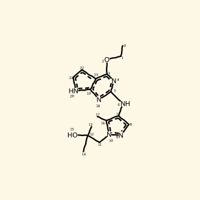 CCOc1nc(Nc2cnn(CC(C)(C)O)c2C)nc2[nH]ccc12